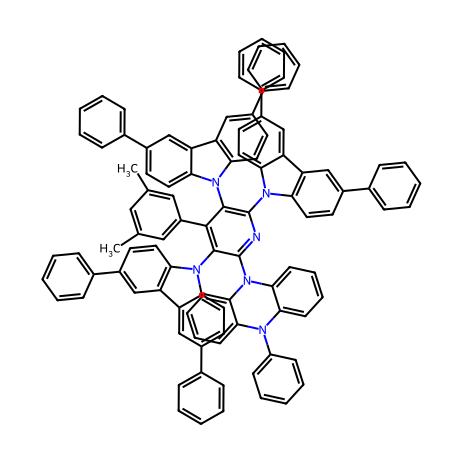 Cc1cc(C)cc(-c2c(-n3c4ccc(-c5ccccc5)cc4c4cc(-c5ccccc5)ccc43)c(N3c4ccccc4N(c4ccccc4)c4ccccc43)nc(-n3c4ccc(-c5ccccc5)cc4c4cc(-c5ccccc5)ccc43)c2-n2c3ccc(-c4ccccc4)cc3c3cc(-c4ccccc4)ccc32)c1